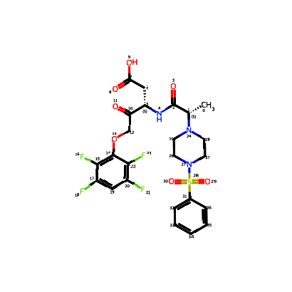 C[C@@H](C(=O)N[C@@H](CC(=O)O)C(=O)COc1c(F)c(F)cc(F)c1F)N1CCN(S(=O)(=O)c2ccccc2)CC1